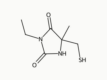 CCN1C(=O)NC(C)(CS)C1=O